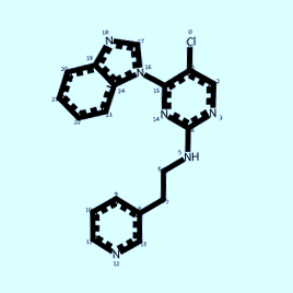 Clc1cnc(NCCc2cccnc2)nc1-n1cnc2ccccc21